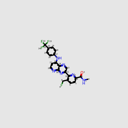 CNC(=O)c1ccc(CF)c(-c2cnc3c(Nc4ccc(C(F)(F)F)cc4)ccnc3n2)n1